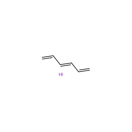 C=CC=CC=C.I